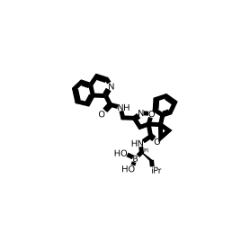 CC(C)C[C@H](NC(=O)C1(C2(c3ccccc3)CC2)CC(CNC(=O)c2nccc3ccccc23)=NO1)B(O)O